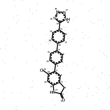 O=C1Cc2cc(-c3ccc(-c4ccc(-c5nnn[nH]5)cc4)cc3)c(Cl)cc2N1